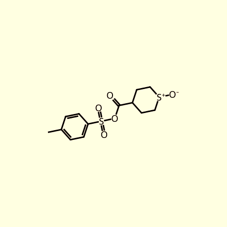 Cc1ccc(S(=O)(=O)OC(=O)C2CC[S+]([O-])CC2)cc1